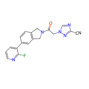 N#Cc1ncn(CC(=O)N2Cc3ccc(-c4cccnc4F)cc3C2)n1